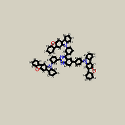 c1cc(-c2nc(-c3cccc(-n4c5ccccc5c5cc6oc7ccccc7c6cc54)c3)c3cc(-c4ccc(-n5c6ccccc6c6cc7oc8ccccc8c7cc65)cc4)ccc3n2)cc(-n2c3ccccc3c3cc4oc5ccccc5c4cc32)c1